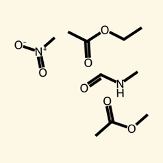 CCOC(C)=O.CNC=O.COC(C)=O.C[N+](=O)[O-]